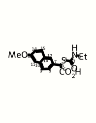 CCNC(=O)SC(C(=O)O)c1ccc2cc(OC)ccc2c1